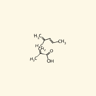 C=C(C)C(=O)O.C=C(C)C=CC